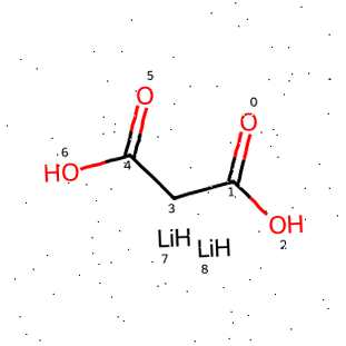 O=C(O)CC(=O)O.[LiH].[LiH]